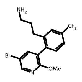 COc1ncc(Br)cc1-c1ccc(C(F)(F)F)cc1CCCN